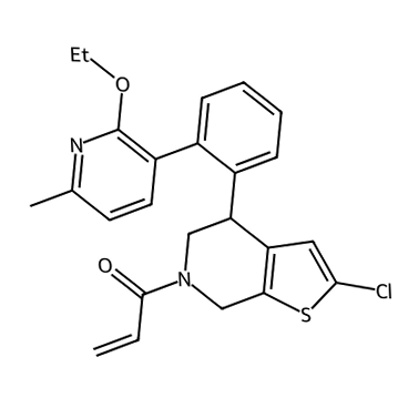 C=CC(=O)N1Cc2sc(Cl)cc2C(c2ccccc2-c2ccc(C)nc2OCC)C1